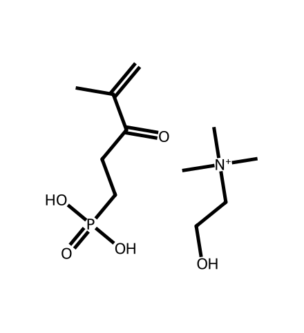 C=C(C)C(=O)CCP(=O)(O)O.C[N+](C)(C)CCO